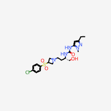 CCc1cc(NC(=O)N[C@H](CO)CCN2CC(S(=O)(=O)c3ccc(Cl)cc3)C2)n(C)n1